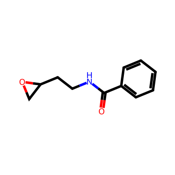 O=C(NCCC1CO1)c1ccccc1